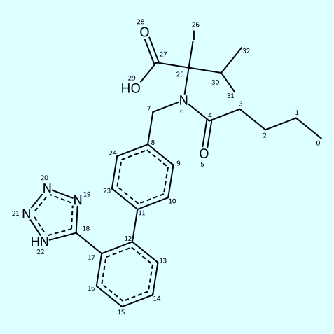 CCCCC(=O)N(Cc1ccc(-c2ccccc2-c2nnn[nH]2)cc1)C(I)(C(=O)O)C(C)C